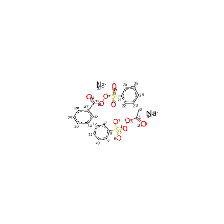 CC(=O)OOS(=O)(=O)c1ccccc1.O=C(OOS(=O)(=O)c1ccccc1)c1ccccc1.[Na].[Na]